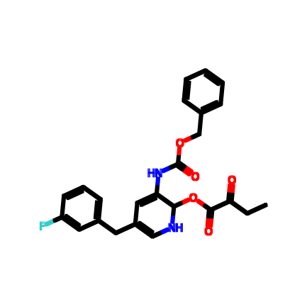 CCC(=O)C(=O)OC1NC=C(Cc2cccc(F)c2)C=C1NC(=O)OCc1ccccc1